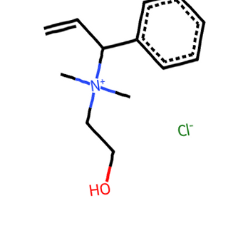 C=CC(c1ccccc1)[N+](C)(C)CCO.[Cl-]